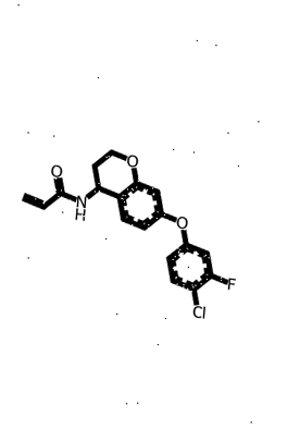 C=CC(=O)NC1CCOc2cc(Oc3ccc(Cl)c(F)c3)ccc21